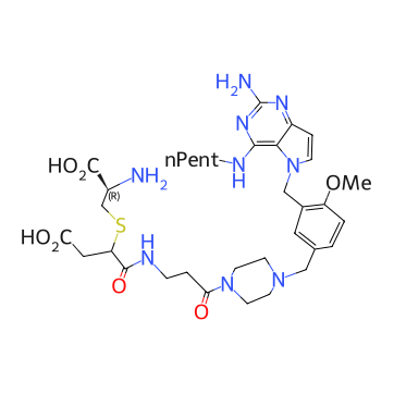 CCCCCNc1nc(N)nc2ccn(Cc3cc(CN4CCN(C(=O)CCNC(=O)C(CC(=O)O)SC[C@H](N)C(=O)O)CC4)ccc3OC)c12